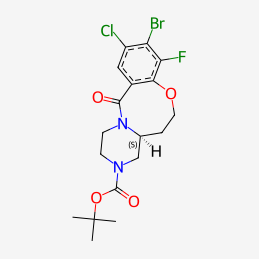 CC(C)(C)OC(=O)N1CCN2C(=O)c3cc(Cl)c(Br)c(F)c3OCC[C@H]2C1